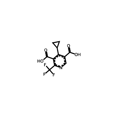 O=C(O)c1cnc(C(F)(F)F)c(C(=O)O)c1C1CC1